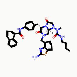 CCCCNC(=O)N(C)N1CC(=O)N2[C@@H](Cc3ccc(NC(=O)c4cccc5ccccc45)cc3)C(=O)N(Cc3cccc4sc(N)nc34)C[C@@H]21